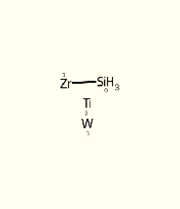 [SiH3][Zr].[Ti].[W]